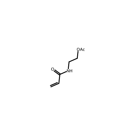 C=CC(=O)NCCOC(C)=O